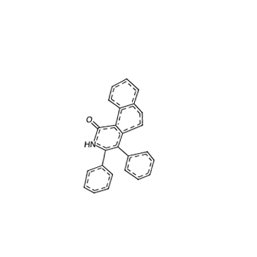 O=c1[nH]c(-c2ccccc2)c(-c2ccccc2)c2ccc3ccccc3c12